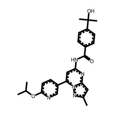 Cc1cc2nc(NC(=O)c3ccc(C(C)(C)O)cc3)cc(-c3ccc(OC(C)C)nc3)n2n1